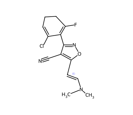 CN(C)/C=C/c1onc(C2=C(F)CCC=C2Cl)c1C#N